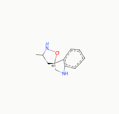 CC1C[C@@]2(CNc3ccccc32)ON1